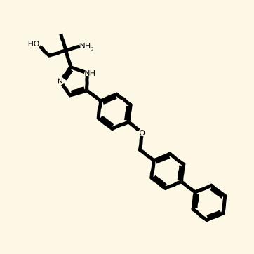 CC(N)(CO)c1ncc(-c2ccc(OCc3ccc(-c4ccccc4)cc3)cc2)[nH]1